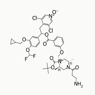 C[C@@H]1CN(C(=O)CCN)[C@@H](C)C[N@+]1(COc1cccc(C(=O)OC(Cc2c(Cl)c[n+]([O-])cc2Cl)c2ccc(OC(F)F)c(OCC3CC3)c2)c1)C(=O)OC(C)(C)C